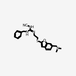 CN(C)Cc1ccc2cc(SCCN=C(NC#N)NCc3ccccc3)oc2c1